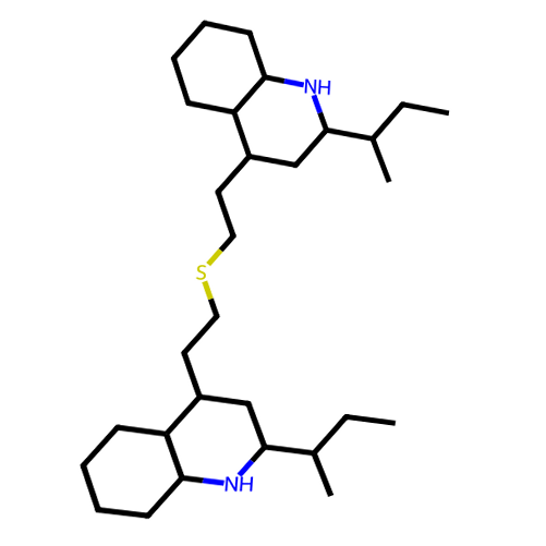 CCC(C)C1CC(CCSCCC2CC(C(C)CC)NC3CCCCC23)C2CCCCC2N1